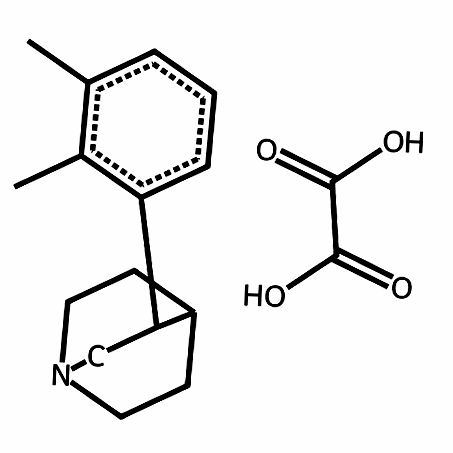 Cc1cccc(C2CN3CCC2CC3)c1C.O=C(O)C(=O)O